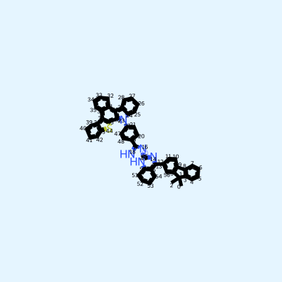 CC1(C)c2ccccc2-c2ccc(-c3n/c(=N/C(=N)c4ccc(-n5c6ccccc6c6c7ccccc7c7c8ccccc8sc7c65)cc4)[nH]c4ccccc34)cc21